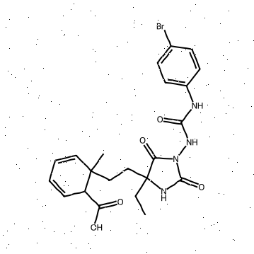 CCC1(CCC2(C)C=CC=CC2C(=O)O)NC(=O)N(NC(=O)Nc2ccc(Br)cc2)C1=O